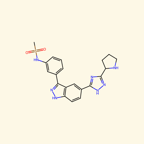 CS(=O)(=O)Nc1cccc(-c2n[nH]c3ccc(-c4nc(C5CCCN5)n[nH]4)cc23)c1